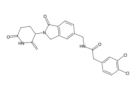 C=C1NC(=O)CCC1N1Cc2cc(CNC(=O)Cc3ccc(Cl)c(Cl)c3)ccc2C1=O